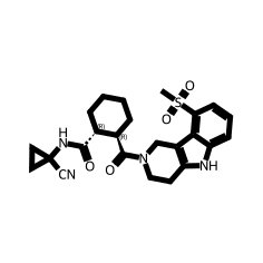 CS(=O)(=O)c1cccc2[nH]c3c(c12)CN(C(=O)[C@@H]1CCCC[C@H]1C(=O)NC1(C#N)CC1)CC3